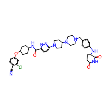 N#Cc1ccc(OC2CCC(NC(=O)c3ccc(N4CCC(N5CCN(Cc6ccc(NC7CCC(=O)NC7=O)cc6)CC5)CC4)nn3)CC2)cc1Cl